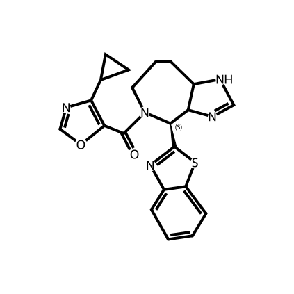 O=C(c1ocnc1C1CC1)N1CCCC2NC=NC2[C@H]1c1nc2ccccc2s1